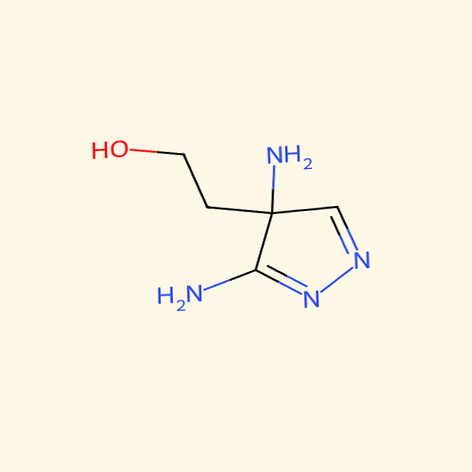 NC1=NN=CC1(N)CCO